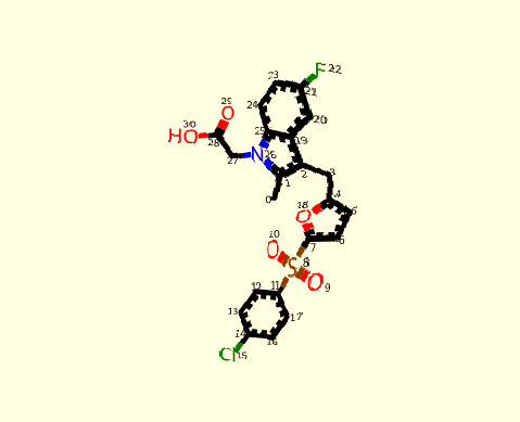 Cc1c(Cc2ccc(S(=O)(=O)c3ccc(Cl)cc3)o2)c2cc(F)ccc2n1CC(=O)O